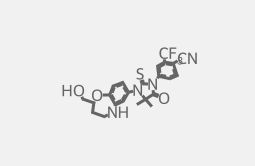 CC1(C)C(=O)N(c2ccc(C#N)c(C(F)(F)F)c2)C(=S)N1c1ccc2c(c1)NCCC(CO)O2